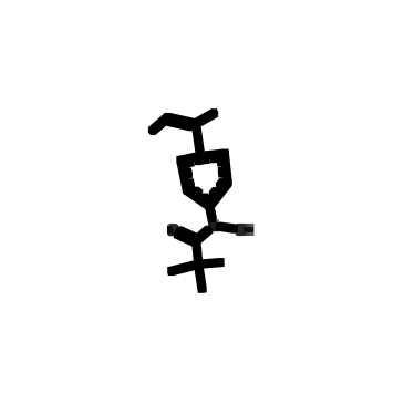 C/C=C(/C)c1ccc(N(O)C(=O)C(C)(C)C)cc1